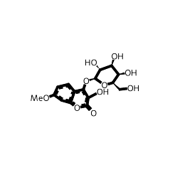 COc1ccc2c(O[C@@H]3O[C@H](CO)[C@H](O)[C@H](O)[C@H]3O)c(O)c(=O)oc2c1